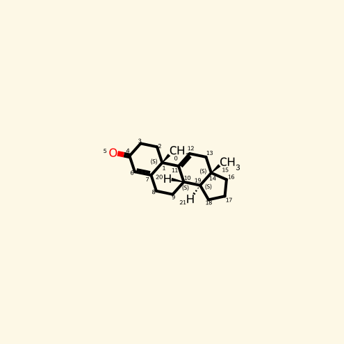 C[C@]12CCC(=O)C=C1CC[C@@H]1C2=CC[C@]2(C)CCC[C@@H]12